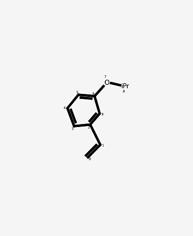 C=Cc1cccc(OC(C)C)c1